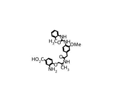 COc1cc(CC(=O)N[C@H](C)COc2ccc(C(=O)O)cc2N)ccc1NC(=O)Nc1ccccc1C